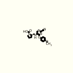 COc1ccc(Oc2nc(C#N)ncc2NC[C@@H]2CCCN2C(=O)O)cc1